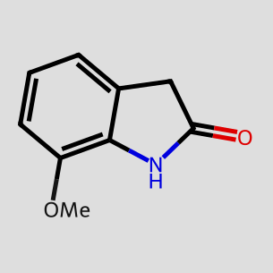 COc1cccc2c1NC(=O)C2